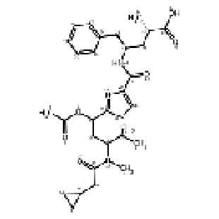 CC(=O)OC(CC(C(C)C)N(C)C(=O)CC1CC1)c1nc(C(=O)N[C@@H](Cc2ccccc2)C[C@H](C)C(=O)O)cs1